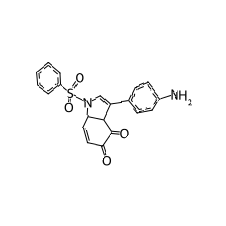 Nc1ccc(C2=CN(S(=O)(=O)c3ccccc3)C3C=CC(=O)C(=O)C23)cc1